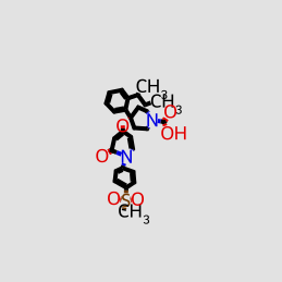 CCC(C)c1ccccc1C1(Oc2ccn(-c3ccc(S(C)(=O)=O)cc3)c(=O)c2)CCN(C(=O)O)CC1